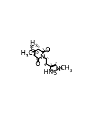 CN1C=C(CCN2C(=O)CC(C)(C)CC2=O)NS1